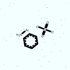 CC(N)=O.O=S(=O)(Cl)Cl.c1ccccc1